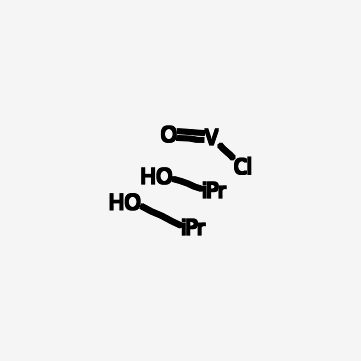 CC(C)O.CC(C)O.[O]=[V][Cl]